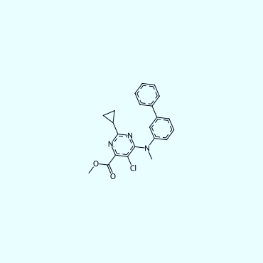 COC(=O)c1nc(C2CC2)nc(N(C)c2cccc(-c3ccccc3)c2)c1Cl